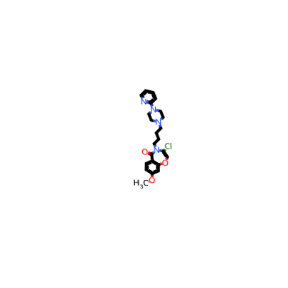 COc1ccc2c(c1)OC=C(Cl)N(CCCCN1CCN(c3ccccn3)CC1)C2=O